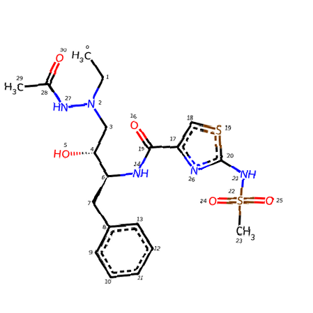 CCN(C[C@@H](O)[C@H](Cc1ccccc1)NC(=O)c1csc(NS(C)(=O)=O)n1)NC(C)=O